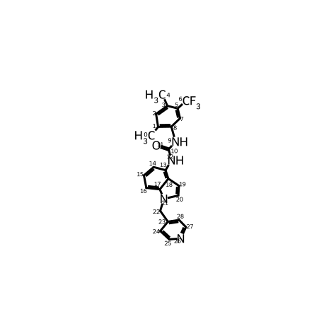 Cc1cc(C)c(C(F)(F)F)cc1NC(=O)Nc1cccc2c1ccn2Cc1ccncc1